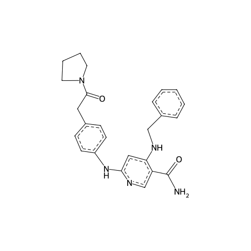 NC(=O)c1cnc(Nc2ccc(CC(=O)N3CCCC3)cc2)cc1NCc1ccccc1